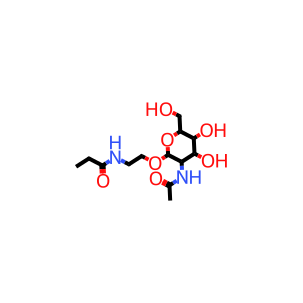 CCC(=O)NCCOC1OC(CO)C(O)C(O)C1NC(C)=O